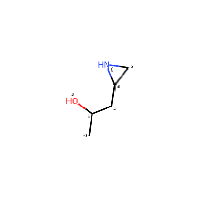 CC(O)CC1CN1